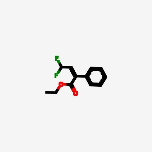 CCOC(=O)C(=CC(F)F)c1ccccc1